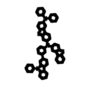 c1ccc(N(c2ccccc2)c2ccc3sc4cc(N(c5cccc(-c6ccc7c8ccccc8n(-c8ccccc8)c7c6)c5)c5ccc6sc7ccccc7c6c5)ccc4c3c2)cc1